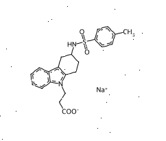 Cc1ccc(S(=O)(=O)NC2CCc3c(c4ccccc4n3CCC(=O)[O-])C2)cc1.[Na+]